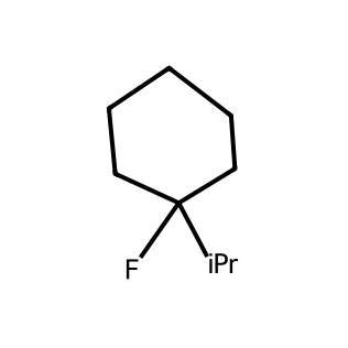 CC(C)C1(F)CCCCC1